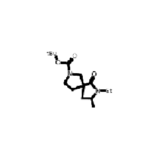 CCN1C(=O)C2(CCN(C(=O)OC(C)(C)C)C2)CC1C